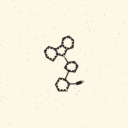 N#Cc1ncccc1-c1cccc(-n2c3ccccc3c3ccccc32)c1